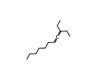 CCCCCCC=C=C(CC)CC